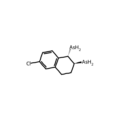 Clc1ccc2c(c1)CC[C@H]([AsH2])[C@H]2[AsH2]